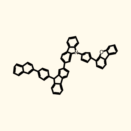 c1ccc2c(c1)-c1ccc(-c3ccc4c5ccccc5n(-c5ccc(-c6cccc7c6oc6ccccc67)cc5)c4c3)cc1C2c1ccc(-c2ccc3ccccc3c2)cc1